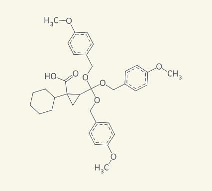 COc1ccc(COC(OCc2ccc(OC)cc2)(OCc2ccc(OC)cc2)C2CC2(C(=O)O)C2CCCCC2)cc1